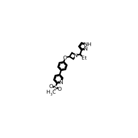 CCC(c1cc[nH]n1)N1CC(Oc2ccc(-c3ccc(S(C)(=O)=O)nc3)cc2)C1